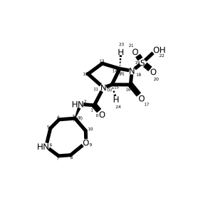 O=C(N[C@@H]1CCNCCOC1)N1CC[C@@H]2[C@H]1C(=O)N2S(=O)(=O)O